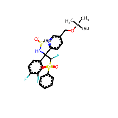 CC(C)(C)[S+]([O-])NC(c1ccc(F)c(F)c1)(c1ccc(CO[Si](C)(C)C(C)(C)C)cn1)[C@@H](F)S(=O)(=O)c1ccccc1